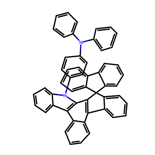 c1ccc(N(c2ccccc2)c2ccc(-n3c4ccccc4c4c5ccccc5c5c(c43)C3(c4ccccc4-c4ccccc43)c3ccccc3-5)cc2)cc1